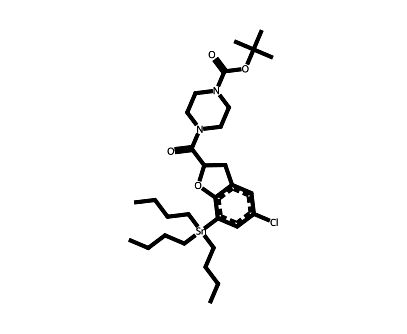 CCC[CH2][Sn]([CH2]CCC)([CH2]CCC)[c]1cc(Cl)cc2c1OC(C(=O)N1CCN(C(=O)OC(C)(C)C)CC1)C2